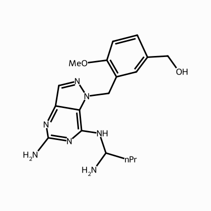 CCCC(N)Nc1nc(N)nc2cnn(Cc3cc(CO)ccc3OC)c12